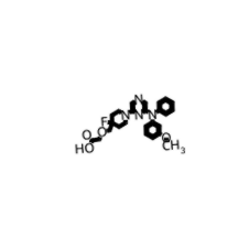 COc1cccc(N(c2ccccc2)c2cncc(N3CCC(F)(COCC(=O)O)CC3)n2)c1